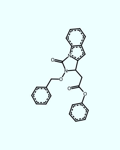 O=C(CC1c2cc3ccccc3n2C(=O)N1OCc1ccccc1)Oc1ccccc1